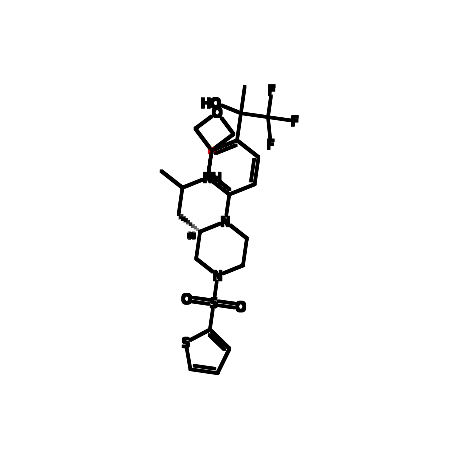 CC(C[C@H]1CN(S(=O)(=O)c2cccs2)CCN1c1ccc(C(C)(O)C(F)(F)F)cc1)NC1COC1